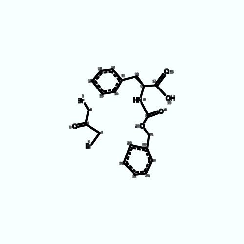 O=C(CBr)CBr.O=C(N[C@@H](Cc1ccccc1)C(=O)O)OCc1ccccc1